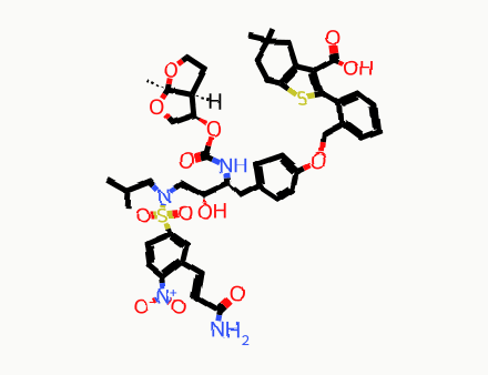 CC(C)CN(C[C@@H](O)[C@H](Cc1ccc(OCc2ccccc2-c2sc3c(c2C(=O)O)CC(C)(C)CC3)cc1)NC(=O)O[C@H]1CO[C@@]2(C)OCC[C@@H]12)S(=O)(=O)c1ccc([N+](=O)[O-])c(/C=C/C(N)=O)c1